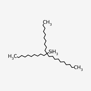 CCCCCCCCCCC([SiH3])(CCCCCCCCCC)CCCCCCCCCC